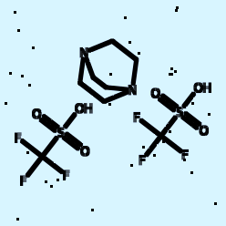 C1CN2CCN1CC2.O=S(=O)(O)C(F)(F)F.O=S(=O)(O)C(F)(F)F